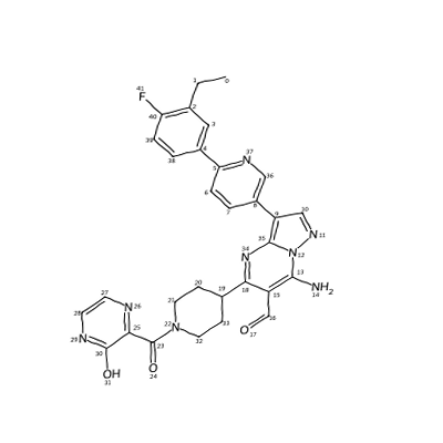 CCc1cc(-c2ccc(-c3cnn4c(N)c(C=O)c(C5CCN(C(=O)c6nccnc6O)CC5)nc34)cn2)ccc1F